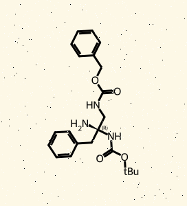 CC(C)(C)OC(=O)N[C@@](N)(CNC(=O)OCc1ccccc1)Cc1ccccc1